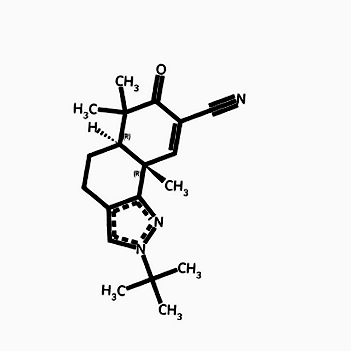 CC1(C)C(=O)C(C#N)=C[C@]2(C)c3nn(C(C)(C)C)cc3CC[C@@H]12